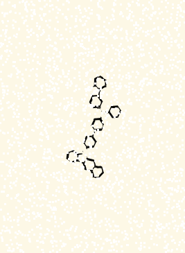 c1ccc(N(c2ccc(-c3ccc(-n4c5ccccc5c5cc6ccccc6cc54)cc3)cc2)c2ccc3sc4ccccc4c3c2)cc1